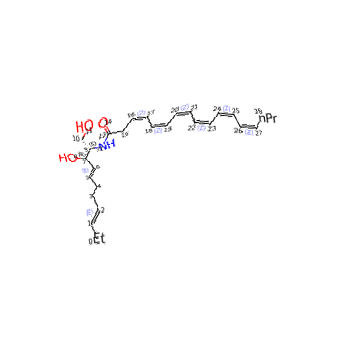 CC/C=C/CC/C=C/[C@@H](O)[C@H](CO)NC(=O)C\C=C/C=C\C=C/C=C\C=C/C=C\CCC